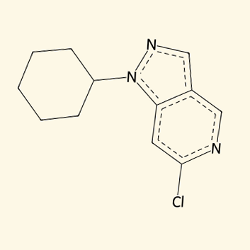 Clc1cc2c(cn1)cnn2C1CCCCC1